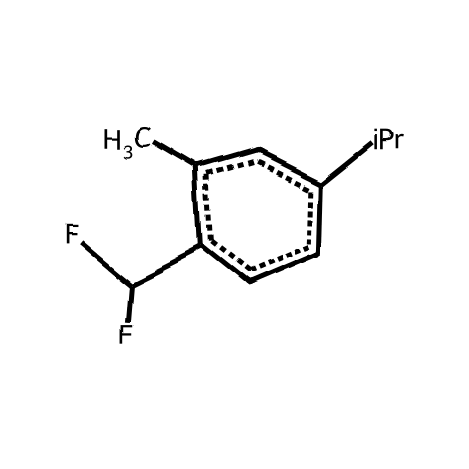 Cc1cc(C(C)C)ccc1C(F)F